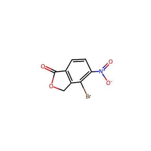 O=C1OCc2c1ccc([N+](=O)[O-])c2Br